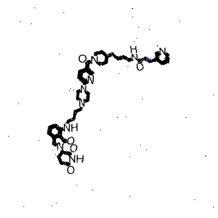 O=C(/C=C/c1cccnc1)NCCCCC1CCN(C(=O)c2ccc(N3CCN(CCCCNc4cccc5c4C(=O)N(C4CCC(=O)NC4=O)C5)CC3)nc2)CC1